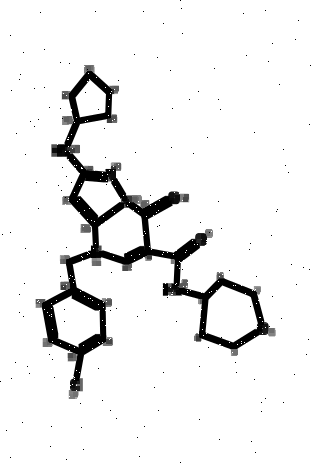 O=C(NC1CCOCC1)c1cn(Cc2ccc(Cl)cc2)c2cc(NC3CCCC3)nn2c1=O